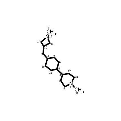 CN1CCC(C2CCC(CC3CN(C)C3)CC2)CC1